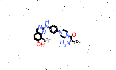 CC(C)C(N)C(=O)N1CCN(c2ccc(Nc3ncc4c(n3)C(C(C)C)C(O)=CC4)cc2)CC1